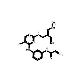 C=CC(=O)Nc1cccc(Nc2nc(NC/C(C=N)=C/NC)ncc2Cl)c1